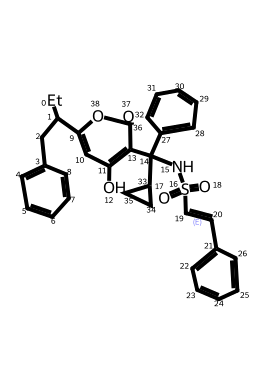 CCC(Cc1ccccc1)c1cc(O)c(C(NS(=O)(=O)/C=C/c2ccccc2)(c2ccccc2)C2CC2)c(=O)o1